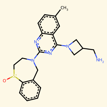 Cc1ccc2nc(N3CC[S+]([O-])c4ccccc4C3)nc(N3CC(CN)C3)c2c1